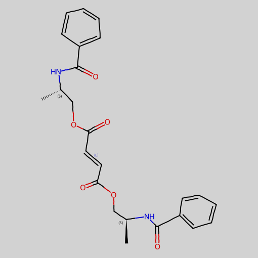 C[C@@H](COC(=O)/C=C/C(=O)OC[C@H](C)NC(=O)c1ccccc1)NC(=O)c1ccccc1